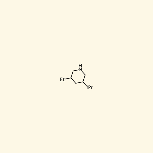 CCC1CNCC(C(C)C)C1